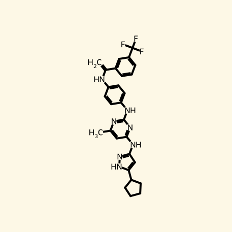 C=C(Nc1ccc(Nc2nc(C)cc(Nc3cc(C4CCCC4)[nH]n3)n2)cc1)c1cccc(C(F)(F)F)c1